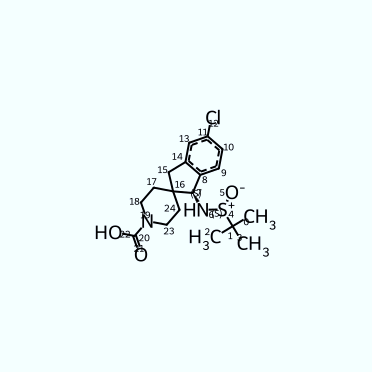 CC(C)(C)[S@@+]([O-])N[C@@H]1c2ccc(Cl)cc2CC12CCN(C(=O)O)CC2